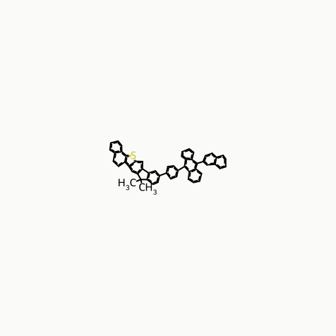 CC1(C)c2ccc(-c3ccc(-c4c5ccccc5c(-c5ccc6ccccc6c5)c5ccccc45)cc3)cc2-c2cc3sc4c5ccccc5ccc4c3cc21